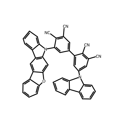 N#Cc1cc(-n2c3ccccc3c3ccccc32)cc(-c2cc(C#N)c(C#N)c(-n3c4ccccc4c4cc5c(cc43)oc3ccccc35)c2)c1C#N